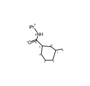 CC1CCCC(C(=O)NC(C)C)C1